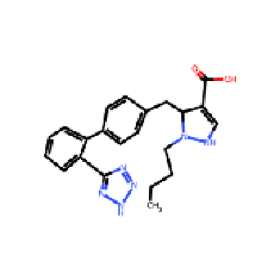 CCCCN1NC=C(C(=O)O)C1Cc1ccc(-c2ccccc2-c2nn[nH]n2)cc1